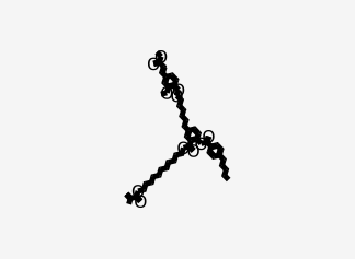 C=C(C)C(=O)OCCCCCCCCCCCOC(=O)c1cc(CCCCCCOOc2ccc(C=CC(=O)OC)cc2OC)ccc1OC(=O)c1ccc(CCCCC)cc1